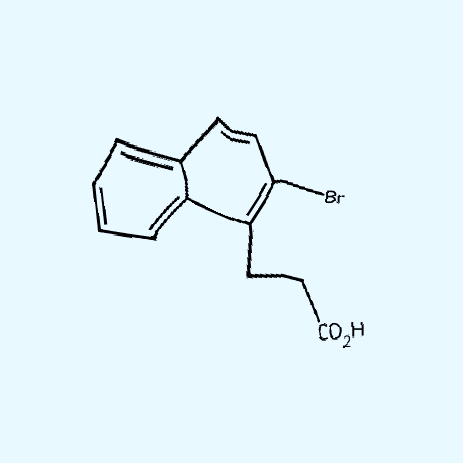 O=C(O)CCc1c(Br)ccc2ccccc12